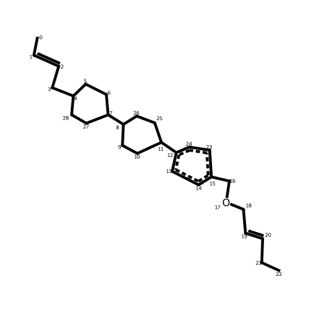 CC=CCC1CCC(C2CCC(c3ccc(COCC=CCC)cc3)CC2)CC1